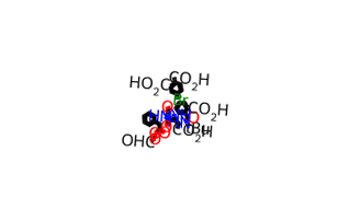 CC(C)(C)NC(=O)c1ccccc1C(=O)O.O=C(O)CC1NC(=O)NC1=O.O=C(O)c1ccc(Br)cc1C(=O)O.O=COOC(=O)Cc1ccccc1